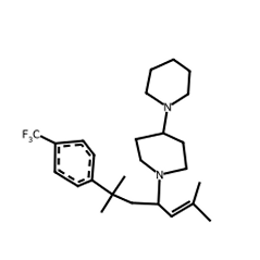 CC(C)=CC(CC(C)(C)c1ccc(C(F)(F)F)cc1)N1CCC(N2CCCCC2)CC1